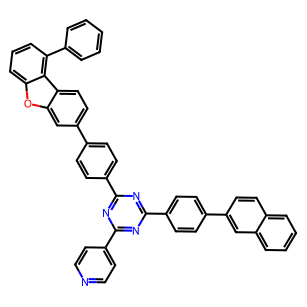 c1ccc(-c2cccc3oc4cc(-c5ccc(-c6nc(-c7ccncc7)nc(-c7ccc(-c8ccc9ccccc9c8)cc7)n6)cc5)ccc4c23)cc1